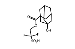 O=C(OCC(F)(F)S(=O)(=O)O)C12CC3CC(CC(O)(C3)C1)C2